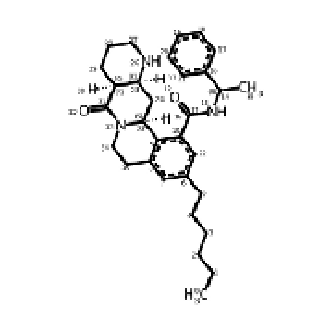 CCCCCCc1cc2c(c(C(=O)N[C@H](C)c3ccccc3)c1)[C@@H]1C[C@@H]3NCCC[C@@H]3C(=O)N1CC2